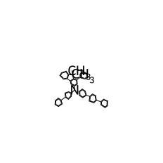 CC1(C)c2ccccc2-c2cc(N(c3ccc(-c4ccccc4)cc3)c3ccc(-c4ccc(-c5ccccc5)cc4)cc3)cc(-c3ccccc3)c21